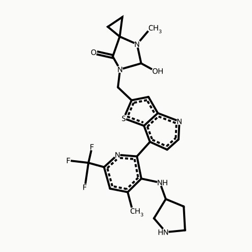 Cc1cc(C(F)(F)F)nc(-c2ccnc3cc(CN4C(=O)C5(CC5)N(C)C4O)sc23)c1NC1CCNC1